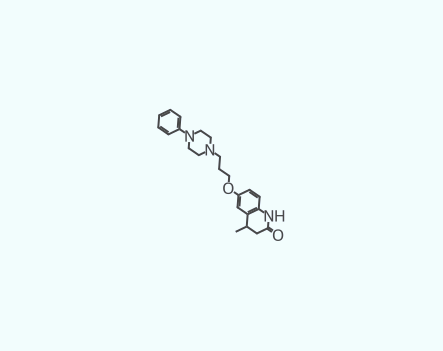 CC1CC(=O)Nc2ccc(OCCCN3CCN(c4ccccc4)CC3)cc21